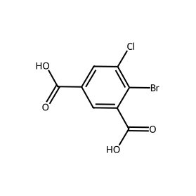 O=C(O)c1cc(Cl)c(Br)c(C(=O)O)c1